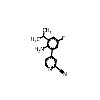 CC(C)c1cc(F)cc(-c2ccnc(C#N)c2)c1N